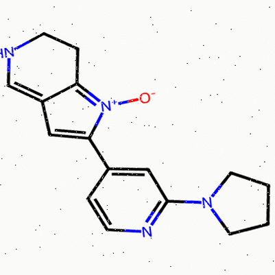 [O-][N+]1=C2CCNC=C2C=C1c1ccnc(N2CCCC2)c1